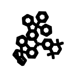 CC1(C)CCC(C)(C)c2cc(N(c3ccc4c(c3)C(c3ccccc3)(c3ccccc3)c3ccccc3-4)c3cccc4c3-c3ccccc3C43C4CC5CC(C4)C3C5)ccc21